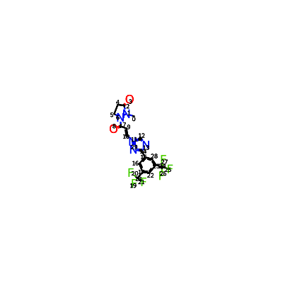 CN1C(=O)CCN1C(=O)C=Cn1cnc(-c2cc(C(F)(F)F)cc(C(F)(F)F)c2)n1